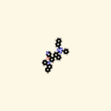 c1ccc(-c2nc(-c3ccc4ccccc4c3)nc(-c3ccc(-c4ccc(-n5c6ccccc6c6c7ccccc7ccc65)c5oc6cnccc6c45)c4ccccc34)n2)cc1